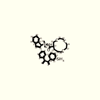 C=C(C(=C)c1ccccc1)c1ccccc1.[CH3][Ti]([CH3])([NH]C(=O)C1CCCCCCCCCCC1)[CH]1C=Cc2ccccc21.[SiH4]